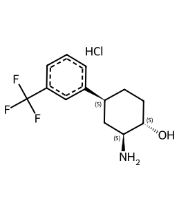 Cl.N[C@H]1C[C@@H](c2cccc(C(F)(F)F)c2)CC[C@@H]1O